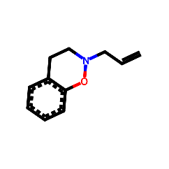 C=CCN1CCc2ccccc2O1